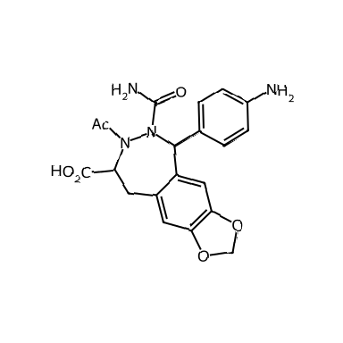 CC(=O)N1C(C(=O)O)Cc2cc3c(cc2C(c2ccc(N)cc2)N1C(N)=O)OCO3